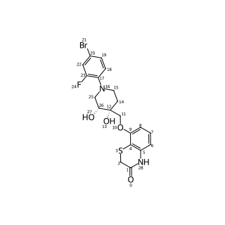 O=C1CSc2c(cccc2OC[C@]2(O)CCN(c3ccc(Br)cc3F)C[C@H]2O)N1